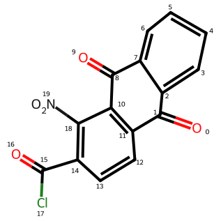 O=C1c2ccccc2C(=O)c2c1ccc(C(=O)Cl)c2[N+](=O)[O-]